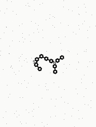 c1ccc(-c2ccc(N(c3ccc(-c4ccccc4)cc3)c3ccc(-c4ccc(-c5cccc(-c6ccc7sc8ccc(-c9ccccc9)cc8c7c6)c5)cc4)cc3)cc2)cc1